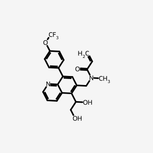 C=CC(=O)N(C)Cc1cc(-c2ccc(OC(F)(F)F)cc2)c2ncccc2c1C(O)CO